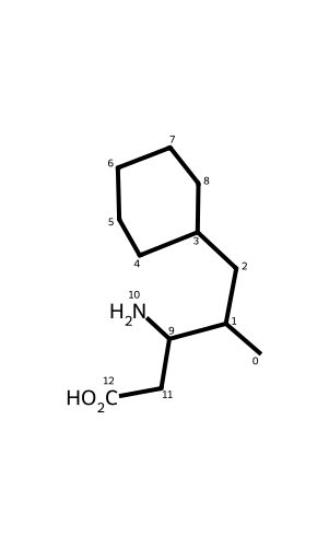 CC(CC1CCCCC1)C(N)CC(=O)O